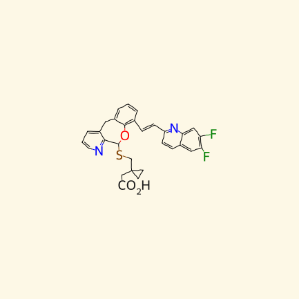 O=C(O)CC1(CSC2Oc3c(C=Cc4ccc5cc(F)c(F)cc5n4)cccc3Cc3cccnc32)CC1